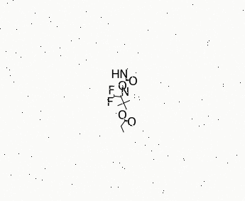 CCC(=O)OCC(C)(C)C(=NOC(=O)NC)C(F)F